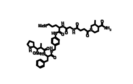 CNCCCC(NC(=O)CNC(=O)CCC(=O)N1CCC(C(N)=O)C(C)C1)C(=O)Nc1ccc(CNC(=O)C(Cc2ccccc2)NC(=O)C(C)C(OC)C2CCCN2)cc1